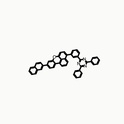 c1ccc(-c2nc(-c3ccccc3)nc(-c3cccc(-c4ccc5c6c(cccc46)-c4ccc(-c6ccc7ccccc7c6)cc4O5)c3)n2)cc1